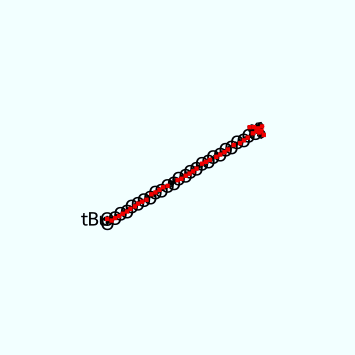 CC(C)(C)OC(=O)CCOCCOCCOCCOCCOCCOCCOCCOCCOCCOCCOCCOCCOCCOCCOCCOCCOCCOCCOCCOCCOCCOCCOCCOCCOC(c1ccccc1)(c1ccccc1)c1ccccc1